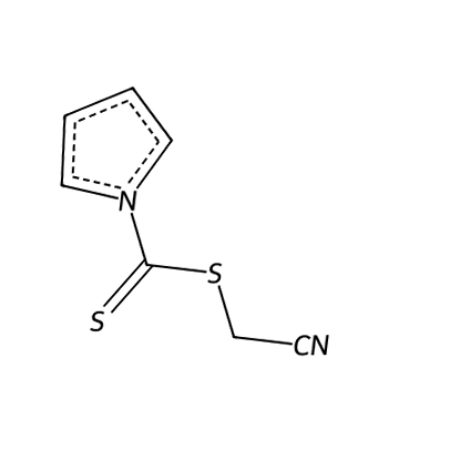 N#CCSC(=S)n1cccc1